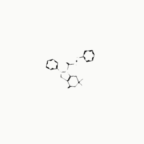 CC1(C)CC(=O)C2=C(C1)N(C(=S)N=Nc1ccccc1)N(c1ccccc1)C2